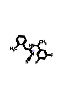 Cc1ccccc1C/C(=N\C#N)NC(C)c1cc(F)cc(F)c1